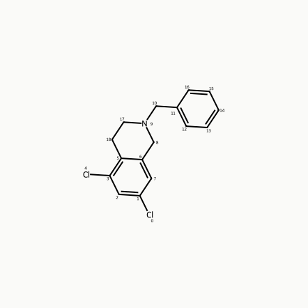 Clc1cc(Cl)c2c(c1)CN(Cc1ccccc1)CC2